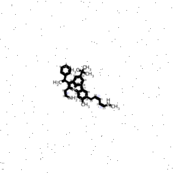 C=C(c1ccccc1)c1c(/C=C\N)n2c3cc(C)c(C/C=C\C=C/NC)cc3c3cc(C(C)(C)C)cc1c32